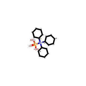 O=P(O)(O)[N+](C1CCCCC1)(C1CCCCC1)C1CCCCC1